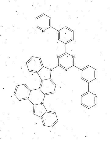 c1ccc(-c2cccc(-c3nc(-c4cccc(-c5ccccn5)c4)nc(-n4c5ccccc5c5c6c7ccccc7c7cc8ccccc8n7c6ccc54)n3)c2)nc1